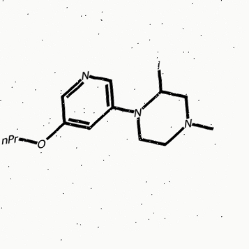 CCCOc1cncc(N2CCN(C)CC2I)c1